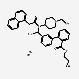 CC(C)CN1CCC(N(C(=O)Cc2cccc3ccccc23)C(C)c2cccc(-c3ccccc3C(=O)NCCN)c2)CC1.Cl.Cl